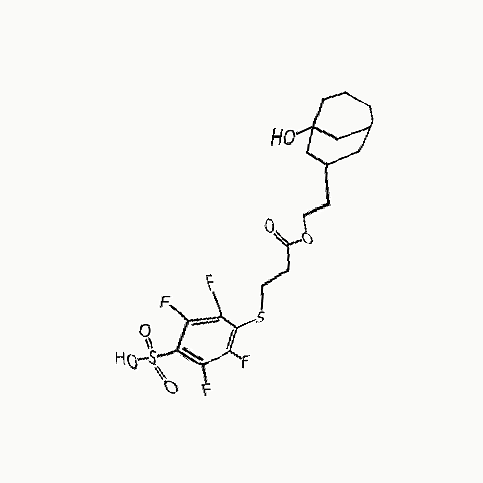 O=C(CCSc1c(F)c(F)c(S(=O)(=O)O)c(F)c1F)OCCC1CC2CCCC(O)(C2)C1